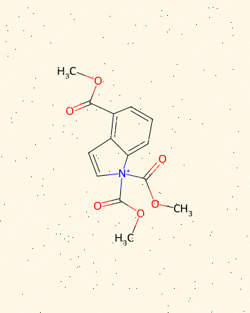 COC(=O)c1cccc2c1C=C[N+]2(C(=O)OC)C(=O)OC